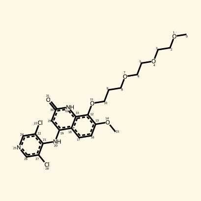 COCCOCCOCCCOc1c(OC)ccc2c(Nc3c(Cl)cncc3Cl)cc(=O)[nH]c12